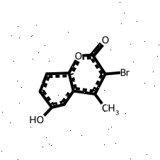 Cc1c(Br)c(=O)oc2ccc(O)cc12